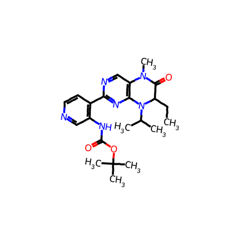 CCC1C(=O)N(C)c2cnc(-c3ccncc3NC(=O)OC(C)(C)C)nc2N1C(C)C